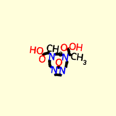 CC(C(=O)O)N1CCN2CCN(CCN(C(C)C(=O)O)CC1)C2=O